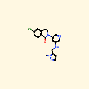 Cn1nccc1CNc1cncc(N2CCc3cc(Cl)ccc3C2=O)c1